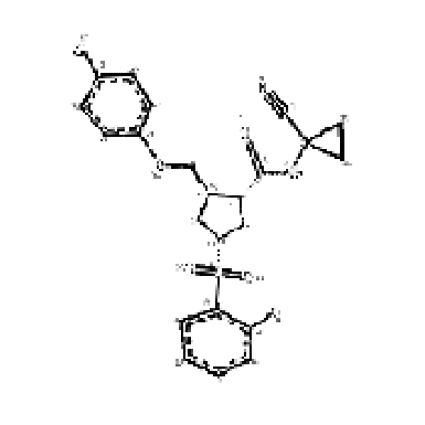 N#CC1(NC(=O)[C@@H]2C[C@H](S(=O)(=O)c3ccccc3Cl)C[C@H]2COc2ccc(Cl)cc2)CC1